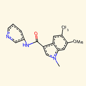 COc1cc2c(cc1C(F)(F)F)c(C(=O)Nc1cccnc1)cn2C